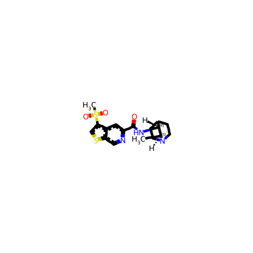 C[C@H]1[C@H](NC(=O)c2cc3c(S(C)(=O)=O)csc3cn2)C2CCN1CC2